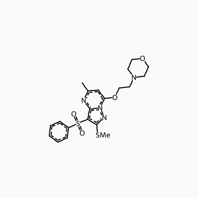 CSc1nn2c(OCCN3CCOCC3)cc(C)nc2c1S(=O)(=O)c1ccccc1